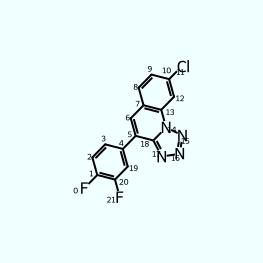 Fc1ccc(-c2cc3ccc(Cl)cc3n3nnnc23)cc1F